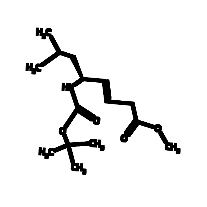 COC(=O)C/C=C/[C@H](CC(C)C)NC(=O)OC(C)(C)C